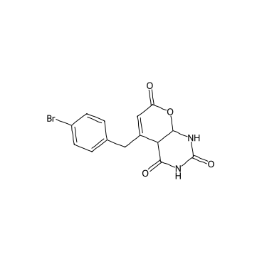 O=C1NC(=O)C2C(Cc3ccc(Br)cc3)=CC(=O)OC2N1